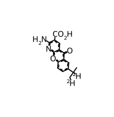 [2H]CC([2H])(C)c1ccc2oc3nc(N)c(C(=O)O)cc3c(=O)c2c1